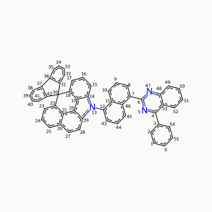 c1ccc(-c2nc(-c3cccc4c(-n5c6cccc7c6c6c8c(cccc8ccc65)C75c6ccccc6-c6ccccc65)cccc34)nc3ccccc23)cc1